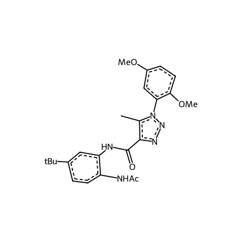 COc1ccc(OC)c(-n2nnc(C(=O)Nc3cc(C(C)(C)C)ccc3NC(C)=O)c2C)c1